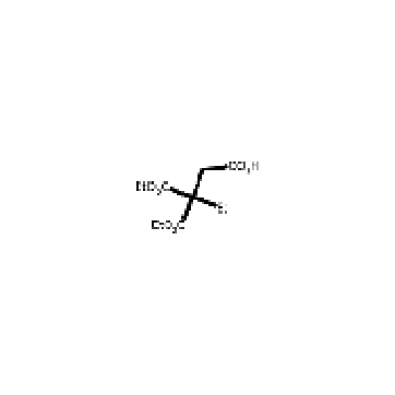 CCOC(=O)C(CC)(CC(=O)O)C(=O)OCC